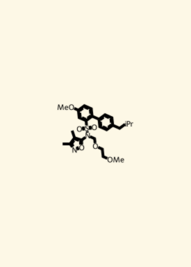 COCCOCN(c1onc(C)c1C)S(=O)(=O)c1cc(OC)ccc1-c1ccc(CC(C)C)cc1